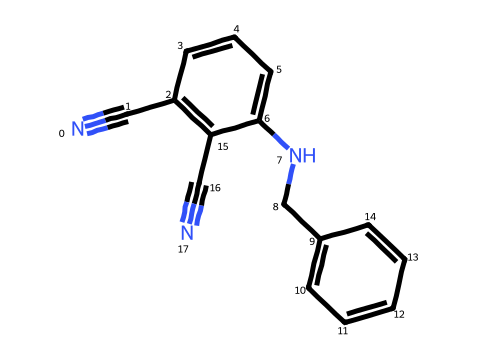 N#Cc1cccc(NCc2ccccc2)c1C#N